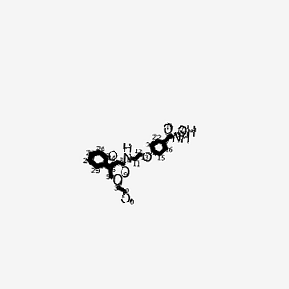 COCCOCc1c(C(=O)NCCOc2ccc(C(=O)NO)cc2)oc2ccccc12